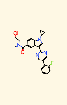 CN(CCO)C(=O)c1ccc2c(c1)c(-c1ncc(-c3ccccc3F)cn1)cn2C1CC1